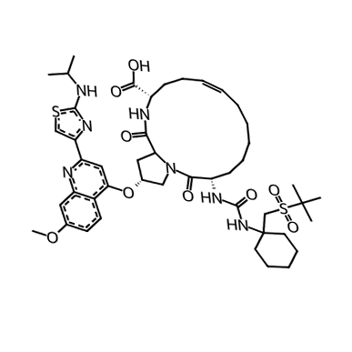 COc1ccc2c(O[C@@H]3CC4C(=O)N[C@H](C(=O)O)CCC=CCCCCC[C@H](NC(=O)NC5(CS(=O)(=O)C(C)(C)C)CCCCC5)C(=O)N4C3)cc(-c3csc(NC(C)C)n3)nc2c1